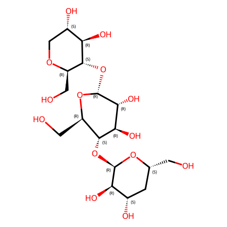 OC[C@@H]1C[C@H](O)[C@@H](O)[C@@H](O[C@H]2[C@H](O)[C@@H](O)[C@@H](O[C@H]3[C@H](O)[C@@H](O)CO[C@@H]3CO)O[C@@H]2CO)O1